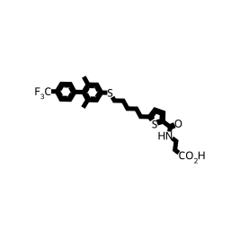 Cc1cc(SCCCCCc2ccc(C(=O)NCCC(=O)O)s2)cc(C)c1-c1ccc(C(F)(F)F)cc1